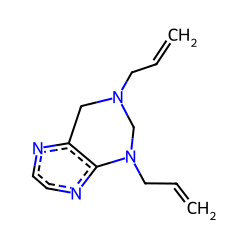 C=CCN1Cc2nccnc2N(CC=C)C1